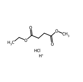 CCOC(=O)CCC(=O)OC.Cl.[H+]